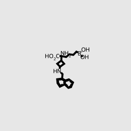 NC(CCCCB(O)O)(C(=O)O)C1CC(NCc2cccc3ccccc23)C1